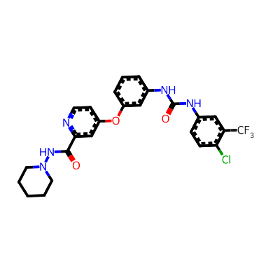 O=C(Nc1cccc(Oc2ccnc(C(=O)NN3CCCCC3)c2)c1)Nc1ccc(Cl)c(C(F)(F)F)c1